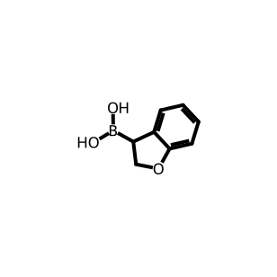 OB(O)C1COc2ccccc21